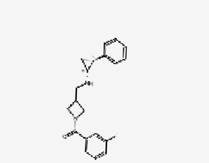 O=C(c1cccc(F)c1)N1CC(CN[C@@H]2C[C@H]2c2ccccc2)C1